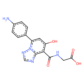 Nc1ccc(-c2cc(O)c(C(=O)NCC(=O)O)c3ncnn23)cc1